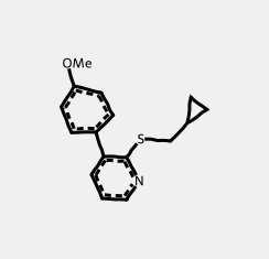 COc1ccc(-c2cccnc2SCC2CC2)cc1